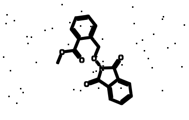 COC(=O)c1ccccc1CON1C(=O)c2ccccc2C1=O